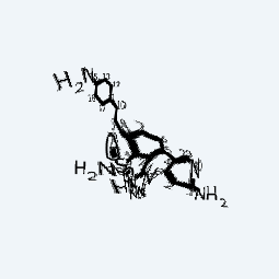 Nc1ccc(-c2ccc(CCC3CCC(N)CC3)c(S(N)(=O)=O)c2-c2nnn[nH]2)cn1